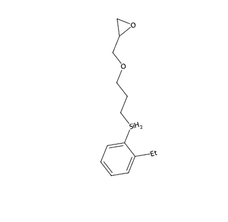 CCc1ccccc1[SiH2]CCCOCC1CO1